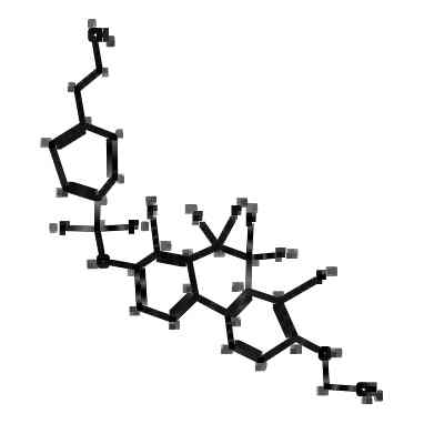 CCCc1ccc(C(F)(F)Oc2ccc3c(c2F)C(F)(F)C(F)(F)c2c-3ccc(OCC)c2F)cc1